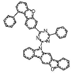 c1ccc(-c2nc(-c3ccc4c(c3)oc3cccc(-c5ccccc5)c34)nc(-n3c4ccccc4c4cc5oc6ccccc6c5cc43)n2)cc1